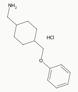 Cl.NCC1CCC(COc2ccccc2)CC1